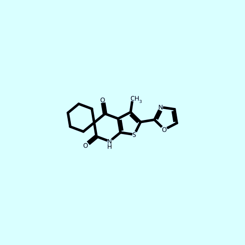 Cc1c(-c2ncco2)sc2c1C(=O)C1(CCCCC1)C(=O)N2